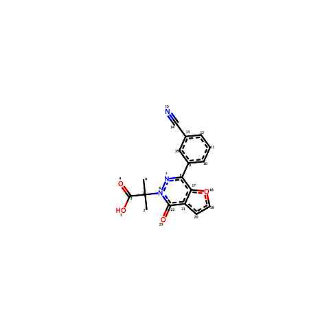 CC(C)(C(=O)O)n1nc(-c2cccc(C#N)c2)c2occc2c1=O